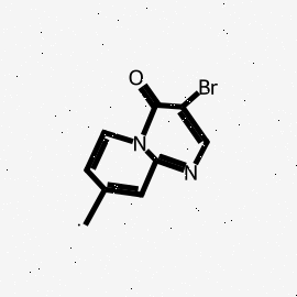 [CH2]c1ccn2c(=O)c(Br)cnc2c1